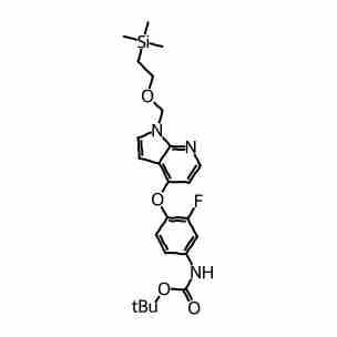 CC(C)(C)OC(=O)Nc1ccc(Oc2ccnc3c2ccn3COCC[Si](C)(C)C)c(F)c1